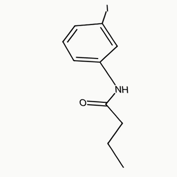 CCCC(=O)Nc1cccc(I)c1